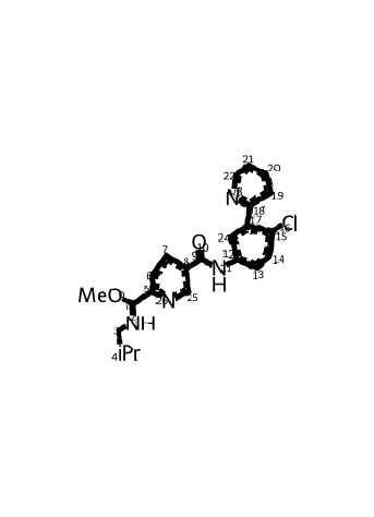 COC(NCC(C)C)c1ccc(C(=O)Nc2ccc(Cl)c(-c3ccccn3)c2)cn1